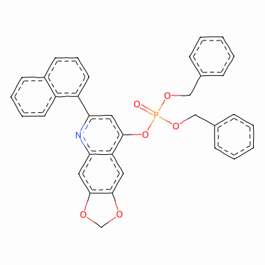 O=P(OCc1ccccc1)(OCc1ccccc1)Oc1cc(-c2cccc3ccccc23)nc2cc3c(cc12)OCO3